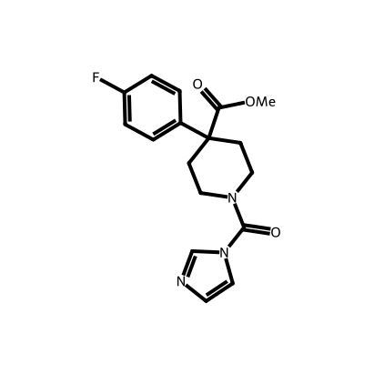 COC(=O)C1(c2ccc(F)cc2)CCN(C(=O)n2ccnc2)CC1